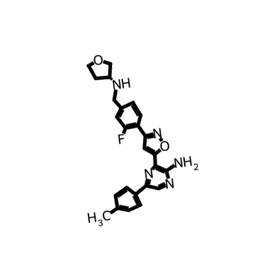 Cc1ccc(-c2cnc(N)c(-c3cc(-c4ccc(CN[C@H]5CCOC5)cc4F)no3)n2)cc1